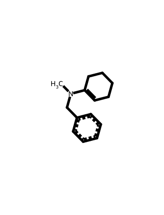 CN(Cc1ccccc1)C1=CCCCC1